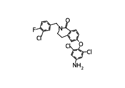 Nc1cc(Cl)c(Oc2ccc3c(c2)CCN(Cc2ccc(F)c(Cl)c2)C3=O)c(Cl)c1